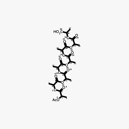 CC(=O)OC(C)C(=O)OC(C)C(=O)OC(C)C(=O)OC(C)C(=O)OC(C)C(=O)OC(C)C(=O)OC(C)C(=O)OC(C)C(=O)O